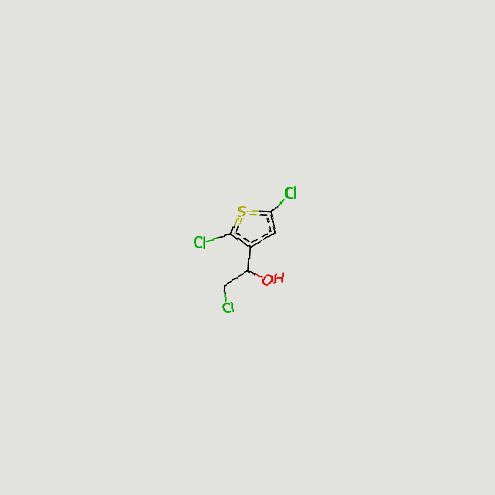 OC(CCl)c1cc(Cl)sc1Cl